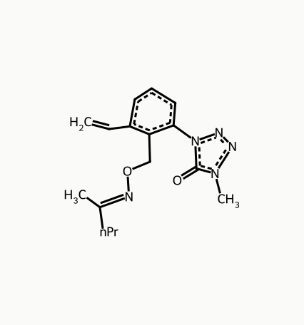 C=Cc1cccc(-n2nnn(C)c2=O)c1CON=C(C)CCC